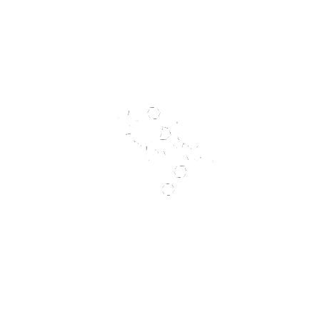 CCCCc1ccc(-c2ccc(C(=O)N(C)[C@H](CO)C(=O)N[C@H](C)C(=O)NCC(=O)N(C)[C@@H]3C(=O)N[C@@H](C)C(=O)N[C@H](C(=O)O)Cc4ccc(O)c(c4)-c4cc3ccc4O)cc2)cc1